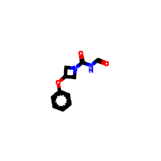 O=CNC(=O)N1CC(Oc2ccccc2)C1